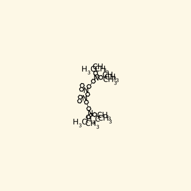 CC(C)c1ccc2c(c1)c1cc(C(C)(C)C)ccc1n2-c1ccc(-c2ccc(N(c3cccc(N(c4ccc(-c5ccc(-n6c7ccc(C(C)(C)C)cc7c7cc(C(C)(C)C)ccc76)cc5)cc4)c4cccc5ccccc45)c3)c3cccc4ccccc34)cc2)cc1